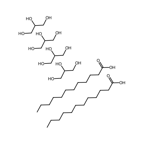 CCCCCCCCCCCC(=O)O.CCCCCCCCCCCC(=O)O.OCC(O)CO.OCC(O)CO.OCC(O)CO.OCC(O)CO